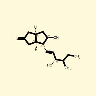 CCC(C)[C@H](O)/C=C/[C@@H]1[C@H]2CC(=O)C[C@H]2C[C@H]1O